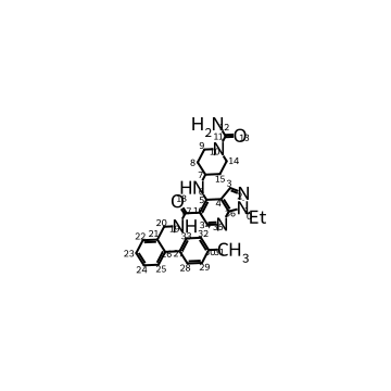 CCn1ncc2c(NC3CCN(C(N)=O)CC3)c(C(=O)NCc3ccccc3-c3ccc(C)cc3)cnc21